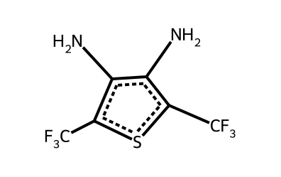 Nc1c(C(F)(F)F)sc(C(F)(F)F)c1N